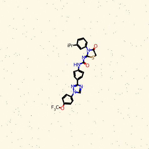 CC(C)c1cccc(N2C(=O)CS/C2=N\C(=O)Nc2ccc(-c3ncn(-c4ccc(OC(F)(F)F)cc4)n3)cc2)c1